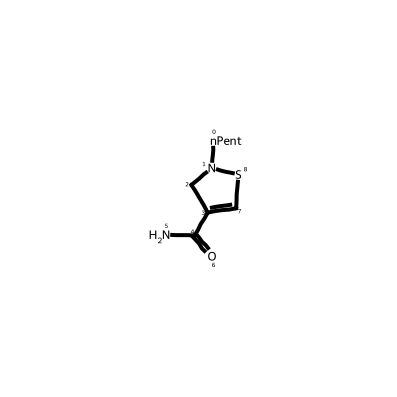 CCCCCN1CC(C(N)=O)=CS1